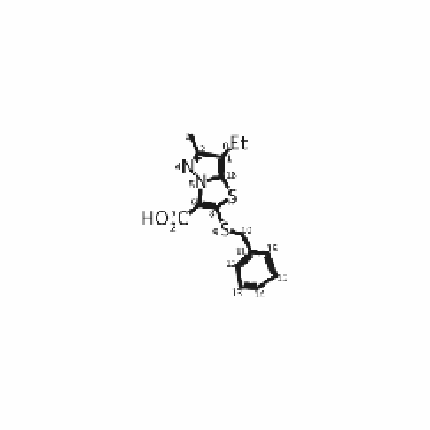 CCc1c(C)nn2c(C(=O)O)c(SCc3ccccc3)sc12